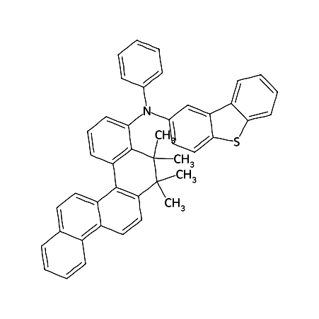 CC1(C)c2ccc3c(ccc4ccccc43)c2-c2cccc(N(c3ccccc3)c3ccc4sc5ccccc5c4c3)c2C1(C)C